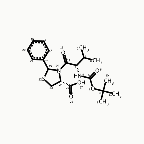 CC(C)[C@H](NC(=O)OC(C)(C)C)C(=O)N1C(c2ccccc2)SC[C@H]1C(=O)O